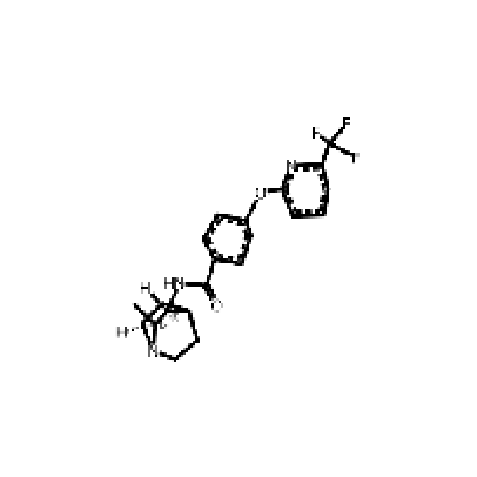 C[C@H]1[C@H](NC(=O)c2ccc(Oc3cccc(C(F)(F)F)n3)cc2)C2CCN1CC2